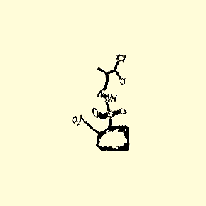 CC(=NNS(=O)(=O)c1ccccc1[N+](=O)[O-])C(Cl)Cl